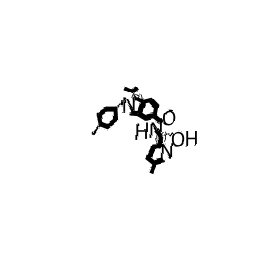 Cc1ccc([C@@H](CO)NC(=O)c2ccc3c(c2)CN(C[C@H]2CC[C@H](C)CC2)[C@@H]3C(C)C)nc1